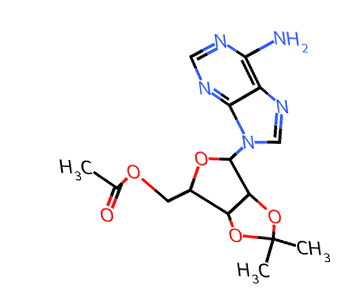 CC(=O)OCC1OC(n2cnc3c(N)ncnc32)C2OC(C)(C)OC12